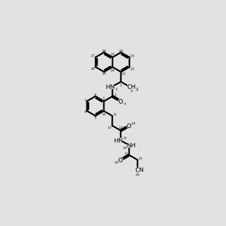 CC(NC(=O)c1ccccc1CCC(=O)NNC(=O)CC#N)c1cccc2ccccc12